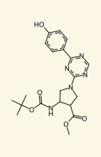 COC(=O)C1CN(c2ncnc(-c3ccc(O)cc3)n2)CC1NC(=O)OC(C)(C)C